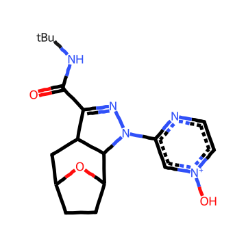 CC(C)(C)NC(=O)C1=NN(c2c[n+](O)ccn2)C2C3CCC(CC12)O3